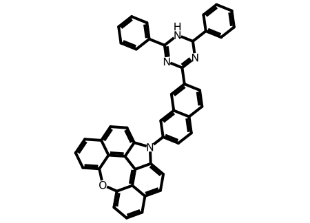 c1ccc(C2=NC(c3ccc4ccc(-n5c6ccc7cccc8oc9cccc%10ccc5c(c%109)c6c78)cc4c3)=NC(c3ccccc3)N2)cc1